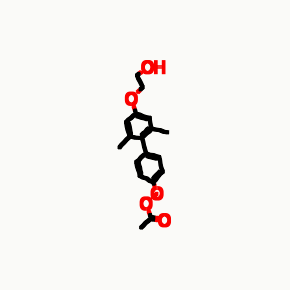 CC(=O)OOc1ccc(-c2c(C)cc(OCCO)cc2C)cc1